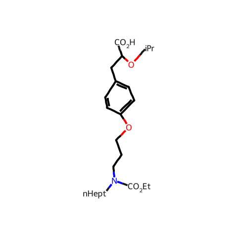 CCCCCCCN(CCCOc1ccc(CC(OC(C)C)C(=O)O)cc1)C(=O)OCC